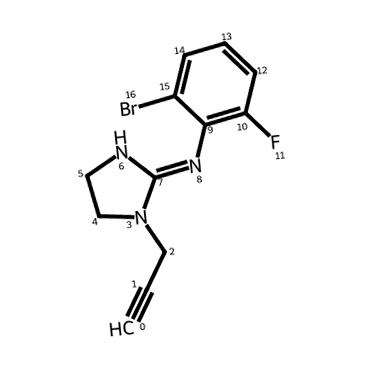 C#CCN1CCN/C1=N\c1c(F)cccc1Br